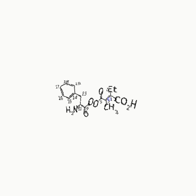 CC/C(C(=O)O)=C(/C)C(=O)OOC(=O)C(N)Cc1ccccc1